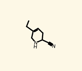 CCC1=CCC(C#N)NC1